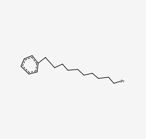 C[C](C)CCCCCCCCCCc1ccccc1